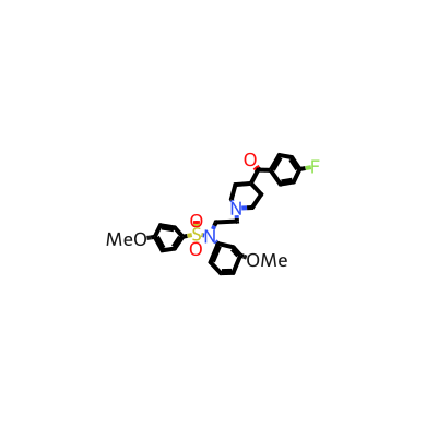 COc1ccc(S(=O)(=O)N(CCN2CCC(C(=O)c3ccc(F)cc3)CC2)c2cccc(OC)c2)cc1